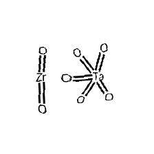 [O]=[Ta](=[O])(=[O])(=[O])=[O].[O]=[Zr]=[O]